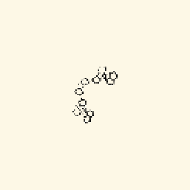 CC12CCCCC1(C)N(c1cccc3ccccc13)c1ccc(-c3ccc4c(c3)-c3cc(-c5ccc6c(c5)C5(C)CCCCC5(C)N6c5cccc6ccccc56)ccc3C4)cc12